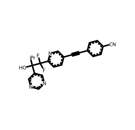 CC(C)C(O)(c1cncnc1)C(F)(F)c1ccc(C#Cc2ccc(C#N)cc2)cn1